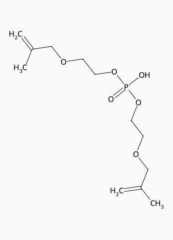 C=C(C)COCCOP(=O)(O)OCCOCC(=C)C